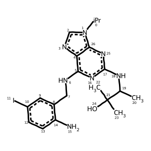 CC(C)n1cnc2c(NCc3cc(I)ccc3N)nc(NC(C)C(C)(C)O)nc21